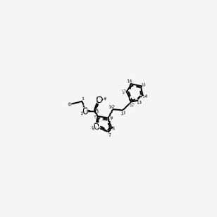 CCOC(=O)c1occc1CCc1ccccc1